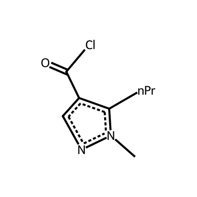 CCCc1c(C(=O)Cl)cnn1C